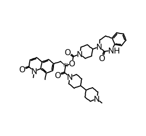 Cc1cc(C[C@@H](OC(=O)N2CCC(N3CCc4ccccc4NC3=O)CC2)C(=O)N2CCC(C3CCN(C)CC3)CC2)cc2ccc(=O)n(C)c12